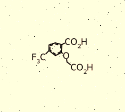 O=C(O)COc1cc(C(F)(F)F)ccc1C(=O)O